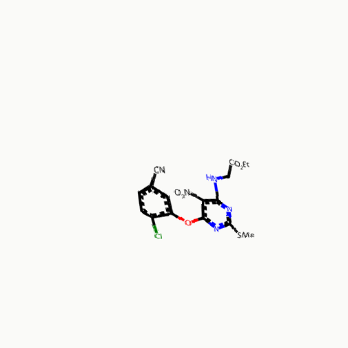 CCOC(=O)CNc1nc(SC)nc(Oc2cc(C#N)ccc2Cl)c1[N+](=O)[O-]